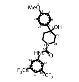 COc1ccc(C2(O)CCN(C(=O)Nc3cc(C(F)(F)F)cc(C(F)(F)F)c3)CC2)cc1